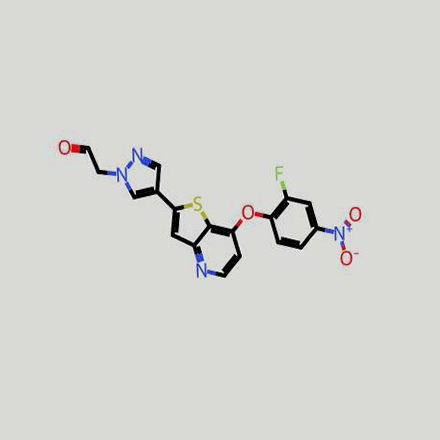 O=CCn1cc(-c2cc3nccc(Oc4ccc([N+](=O)[O-])cc4F)c3s2)cn1